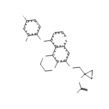 Nc1ccc(Oc2ccnc3cc(OCC4(NC(=O)O)CC4)c4c(c23)OCCO4)c(F)c1